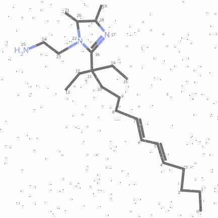 CCCCC=CC=CCCCC(CC)(CC)C1=NC(C)C(C)N1CCN